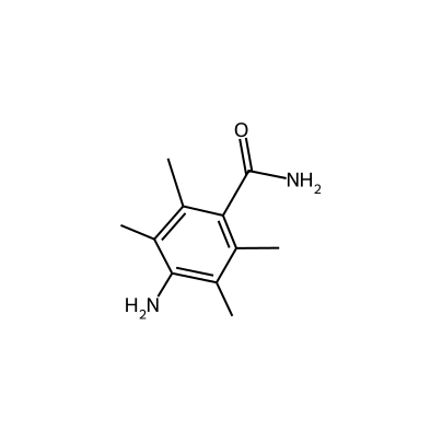 Cc1c(C)c(C(N)=O)c(C)c(C)c1N